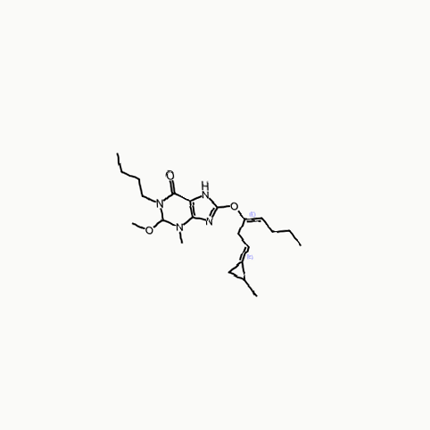 CCC/C=C(\C/C=C1\CC1C)Oc1nc2c([nH]1)C(=O)N(CCCC)C(OC)N2C